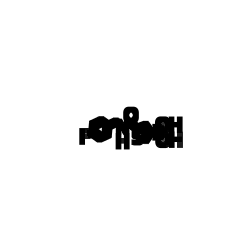 O=C(NCc1ccc(F)cc1)c1cc(B(O)O)cs1